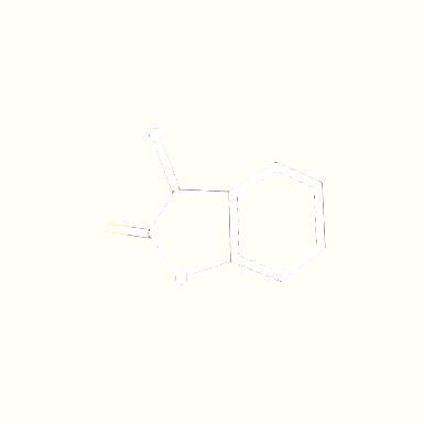 O=C1C(=S)Oc2ccccc21